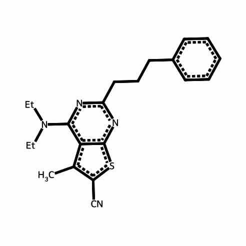 CCN(CC)c1nc(CCCc2ccccc2)nc2sc(C#N)c(C)c12